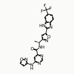 C[C@H](NC(=O)c1cc(Nc2ccon2)ncn1)c1cc(-c2nc3ccc(C(F)(F)F)cc3[nH]2)on1